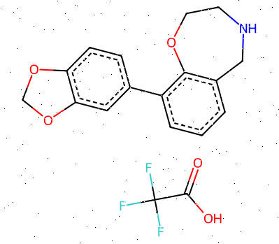 O=C(O)C(F)(F)F.c1cc2c(c(-c3ccc4c(c3)OCO4)c1)OCCNC2